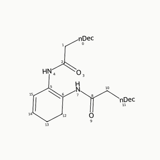 CCCCCCCCCCCC(=O)NC1=C(NC(=O)CCCCCCCCCCC)CCC=C1